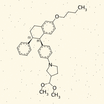 CCCCOc1ccc2c(c1)CC[C@H](c1ccccc1)[C@@H]2c1ccc(N2CCC(C(OC)OC)C2)cc1